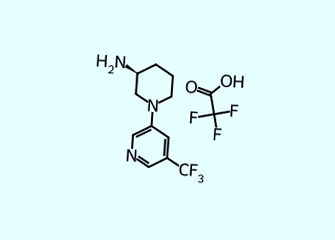 N[C@H]1CCCN(c2cncc(C(F)(F)F)c2)C1.O=C(O)C(F)(F)F